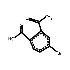 CC(=O)c1cc(Br)ccc1C(=O)O